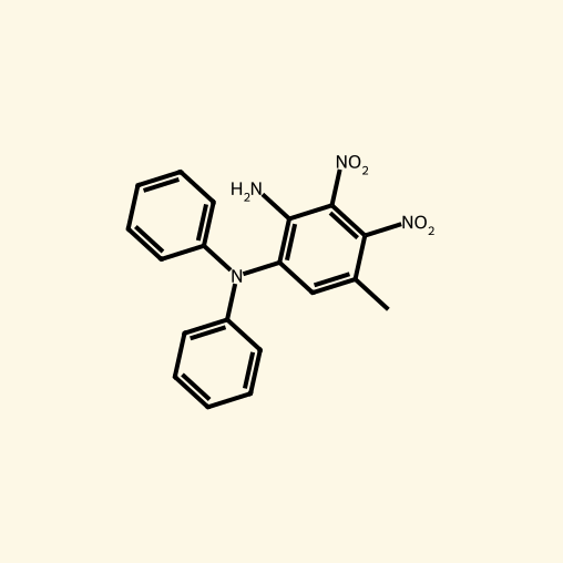 Cc1cc(N(c2ccccc2)c2ccccc2)c(N)c([N+](=O)[O-])c1[N+](=O)[O-]